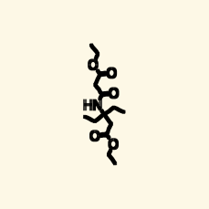 CCOC(=O)CC(=O)NC(CC)(CC)CC(=O)OCC